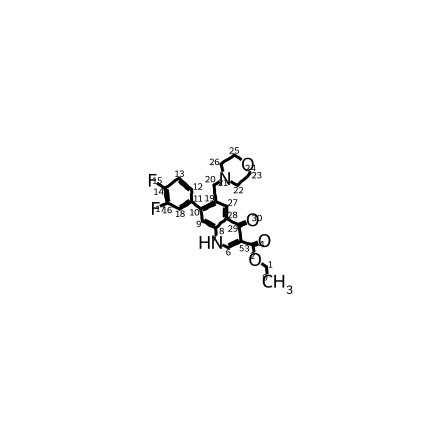 CCOC(=O)c1c[nH]c2cc(-c3ccc(F)c(F)c3)c(CN3CCOCC3)cc2c1=O